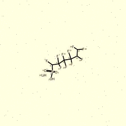 O=S(=O)(O)C(F)C(F)(F)C(F)(F)C(F)(F)C(F)C(F)F.[LiH]